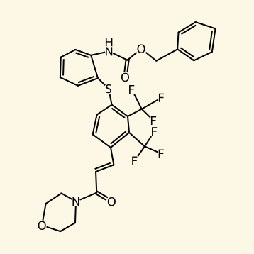 O=C(Nc1ccccc1Sc1ccc(C=CC(=O)N2CCOCC2)c(C(F)(F)F)c1C(F)(F)F)OCc1ccccc1